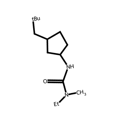 CCN(C)C(=O)NC1CCC(CC(C)(C)C)C1